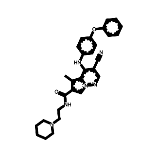 Cc1c(C(=O)NCCN2CCCCC2)cn2ncc(C#N)c(Nc3ccc(Oc4ccccc4)cc3)c12